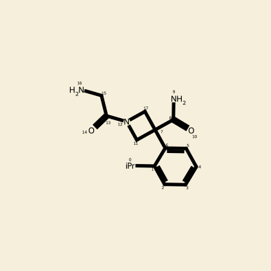 CC(C)c1ccccc1C1(C(N)=O)CN(C(=O)CN)C1